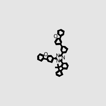 CC1(C)c2ccccc2-c2cccc(-c3nc(-c4cccc(-c5ccc6oc7ccccc7c6c5)c4)nc(-c4ccc5c(c4)oc4ccccc45)n3)c21